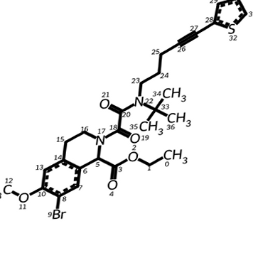 CCOC(=O)C1c2cc(Br)c(OC)cc2CCN1C(=O)C(=O)N(CCCC#Cc1cccs1)C(C)(C)C